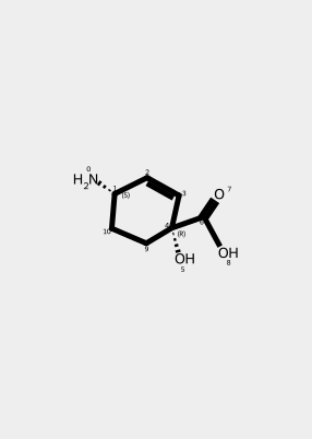 N[C@@H]1C=C[C@@](O)(C(=O)O)CC1